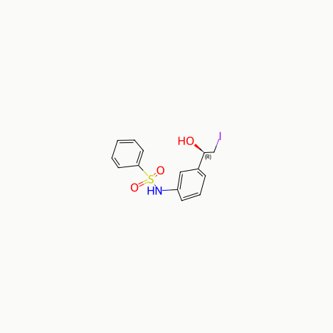 O=S(=O)(Nc1cccc([C@@H](O)CI)c1)c1ccccc1